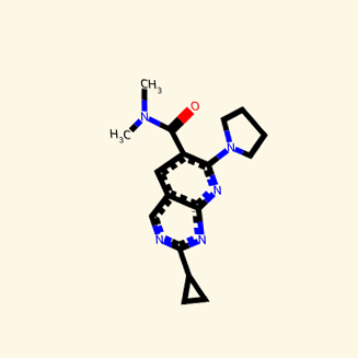 CN(C)C(=O)c1cc2cnc(C3CC3)nc2nc1N1CCCC1